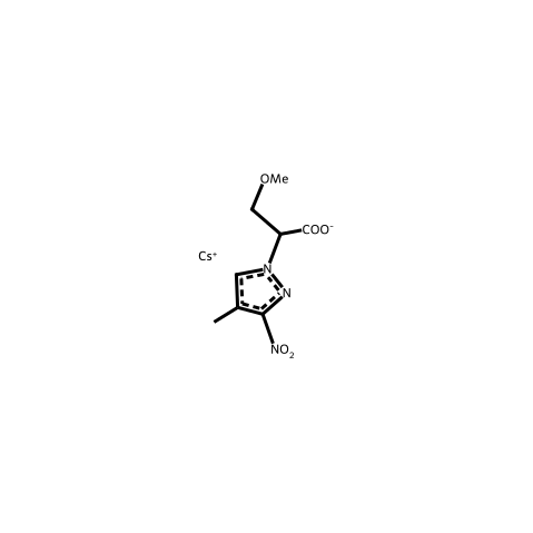 COCC(C(=O)[O-])n1cc(C)c([N+](=O)[O-])n1.[Cs+]